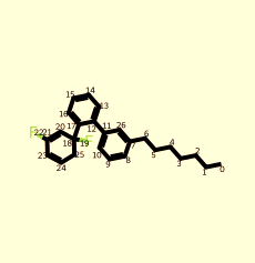 CCCCCCCc1cccc(-c2ccccc2C2(F)C=C(F)C=CC2)c1